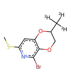 [2H]C([2H])([2H])C1COc2c(cc(SC)nc2Br)O1